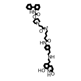 CN(CCCCC(=O)Nc1ccc(CCNCCc2ccc(O)c3[nH]c(=O)ccc23)cc1)C(=O)CCN1CCC(OC(=O)Nc2ccccc2-c2ccccc2)CC1